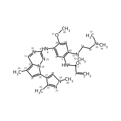 C=CC(=O)Nc1cc(Nc2ncc3c(C)cc(-c4cn(C)nc4C)n3n2)c(OC)cc1N(C)CCN(C)C